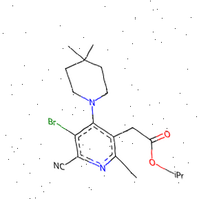 Cc1nc(C#N)c(Br)c(N2CCC(C)(C)CC2)c1CC(=O)OC(C)C